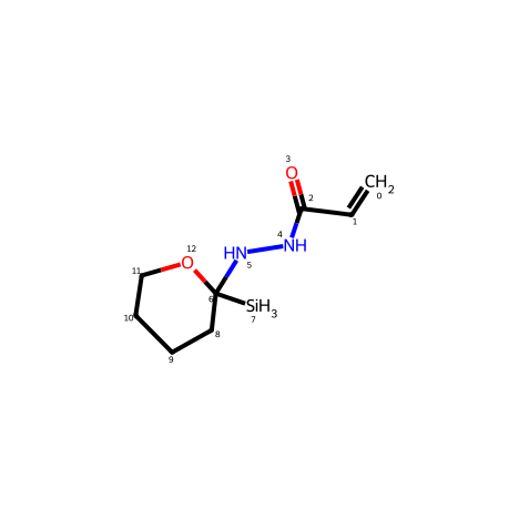 C=CC(=O)NNC1([SiH3])CCCCO1